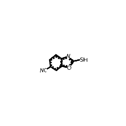 N#Cc1ccc2nc(S)oc2c1